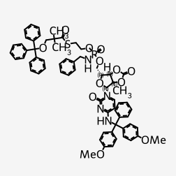 COc1ccc(C(Nc2ccn([C@@H]3O[C@H](COP(=O)(NCc4ccccc4)OCCSC(=O)C(C)(C)COC(c4ccccc4)(c4ccccc4)c4ccccc4)[C@H]4OC(=O)O[C@]43C)c(=O)n2)(c2ccccc2)c2ccc(OC)cc2)cc1